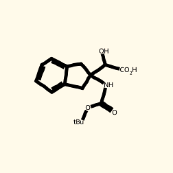 CC(C)(C)OC(=O)NC1(C(O)C(=O)O)Cc2ccccc2C1